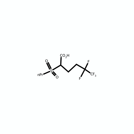 CCCS(=O)(=O)C(CCC(F)(F)C(F)(F)F)C(=O)O